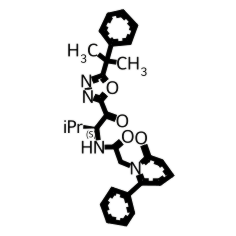 CC(C)[C@H](NC(=O)Cn1c(-c2ccccc2)cccc1=O)C(=O)c1nnc(C(C)(C)c2ccccc2)o1